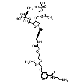 CC#CC(C)(OCC1O[C@@H](BC#CCNC(=O)COCCOC(COc2cccc(C(=O)NCCN)c2)SSC)C[C@H]1O[C@H](COP(=O)(O)O)SSC)P(O)O